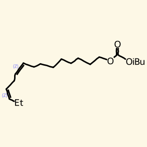 CC/C=C\C/C=C\CCCCCCCCOC(=O)OCC(C)C